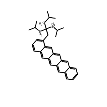 CC(C)[SiH2]C(Cc1cccc2cc3cc4cc5ccccc5cc4cc3cc12)([SiH2]C(C)C)[SiH2]C(C)C